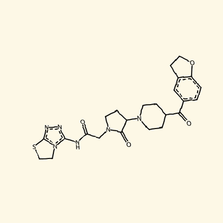 O=C(CN1CCC(N2CCC(C(=O)c3ccc4c(c3)CCO4)CC2)C1=O)Nc1nnc2n1CCS2